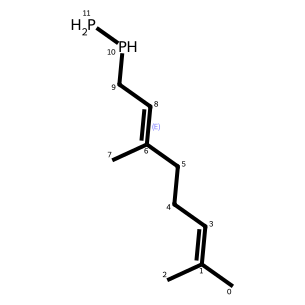 CC(C)=CCC/C(C)=C/CPP